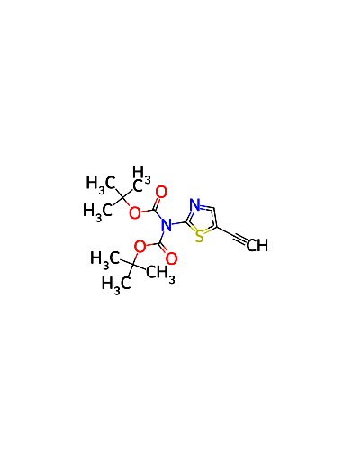 C#Cc1cnc(N(C(=O)OC(C)(C)C)C(=O)OC(C)(C)C)s1